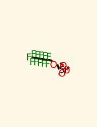 CO[Si](CCOCC(F)(F)C(F)(F)C(F)(F)C(F)(F)C(F)(F)F)(OC)OC